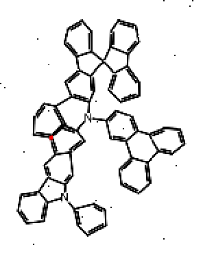 c1ccc(-c2cc3c(cc2N(c2ccc4cc5c6ccccc6n(-c6ccccc6)c5cc4c2)c2ccc4c5ccccc5c5ccccc5c4c2)C2(c4ccccc4-c4ccccc42)c2ccccc2-3)cc1